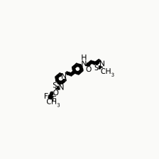 Cc1ncc(CC(=O)NC2CCC(CCN3CCc4sc(OCC(C)(F)F)nc4C3)CC2)s1